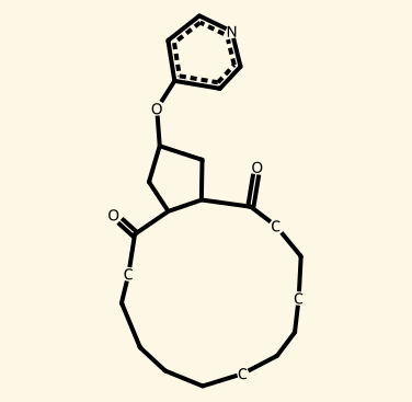 O=C1CCCCCCCCCCCC(=O)C2CC(Oc3ccncc3)CC12